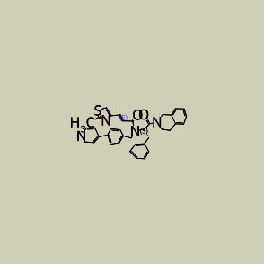 Cc1nc(/C=C/C(=O)N(Cc2ccc(-c3ccncc3)cc2)[C@@H](Cc2ccccc2)C(=O)N2CCc3ccccc3C2)cs1